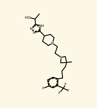 CC(O)c1nnc(C2CCN(CCN3CC(C)(CCCc4ccc(F)cc4C(F)(F)F)C3)CC2)[nH]1